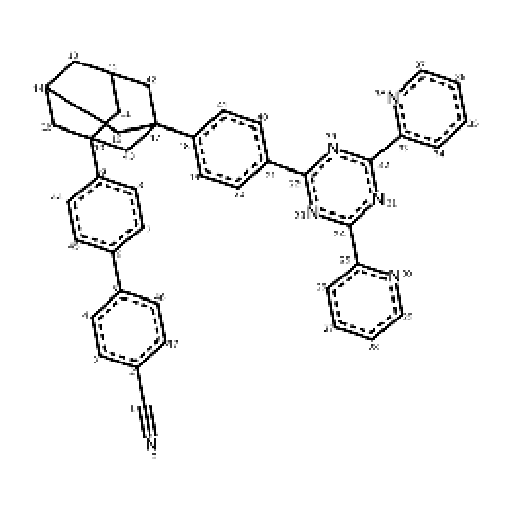 N#Cc1ccc(-c2ccc(C34CC5CC(C3)CC(c3ccc(-c6nc(-c7ccccn7)nc(-c7ccccn7)n6)cc3)(C5)C4)cc2)cc1